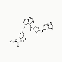 Cc1cc(Nc2ncnn3ccc(CCC4CCC(NC(=O)OC(C)(C)C)C(F)C4)c23)ccc1Oc1ccn2ncnc2c1